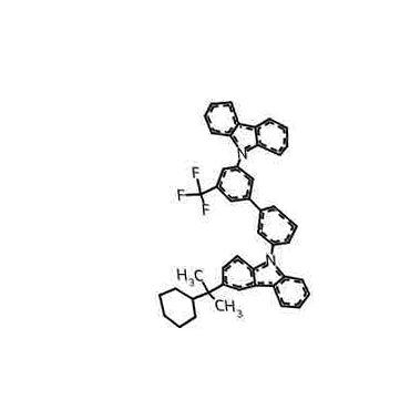 CC(C)(c1ccc2c(c1)c1ccccc1n2-c1cccc(-c2cc(-n3c4ccccc4c4ccccc43)cc(C(F)(F)F)c2)c1)C1CCCCC1